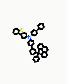 c1ccc(-c2ccc(N(c3ccc(-c4cccc(C5(c6ccccc6)c6cccc7ccc8cccc5c8c67)c4)cc3)c3ccc4c(c3)sc3ccccc34)cc2)cc1